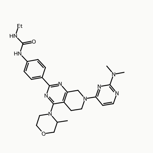 CCNC(=O)Nc1ccc(-c2nc3c(c(N4CCOCC4C)n2)CCN(c2ccnc(N(C)C)n2)C3)cc1